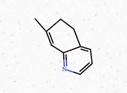 CC1=Cc2ncccc2CC1